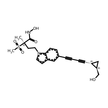 C[C@@](CCn1ccc2cc(C#CC#C[C@@H]3C[C@H]3CO)ccc21)(C(=O)NO)S(C)(=O)=O